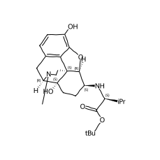 CC(C)[C@H](N[C@H]1CC[C@@]2(O)[C@H]3Cc4ccc(O)c5c4[C@@]2(CCN3C)[C@H]1O5)C(=O)OC(C)(C)C